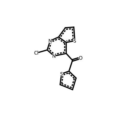 O=C(c1cccs1)c1nc(Cl)nc2ccsc12